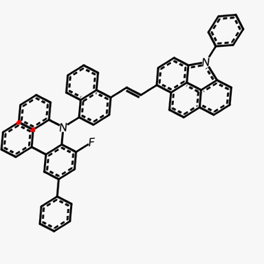 Fc1cc(-c2ccccc2)cc(-c2ccccc2)c1N(c1ccccc1)c1ccc(/C=C/c2ccc3c4c2ccc2cccc(c24)n3-c2ccccc2)c2ccccc12